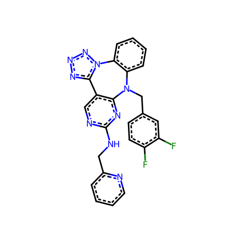 Fc1ccc(CN2c3ccccc3-n3nnnc3-c3cnc(NCc4ccccn4)nc32)cc1F